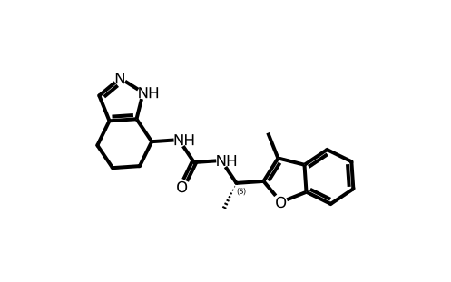 Cc1c([C@H](C)NC(=O)NC2CCCc3cn[nH]c32)oc2ccccc12